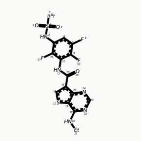 CCCS(=O)(=O)Nc1cc(F)c(F)c(NC(=O)c2csc3c(NCC)ncnc23)c1F